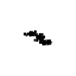 Cc1ccc(C(=O)NC[C@H]2O[C@H](O)[C@@H](NC(=O)c3cccc(-c4ccccc4)c3)[C@@H](O)[C@@H]2O)cc1